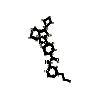 CCCc1ccnc(NC(=O)c2ccc(C3=NC(N4CCC4)=C4C=NC=C[N+]34N)cc2)c1